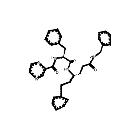 O=C(CC[C@H](CCc1ccccc1)NC(=O)[C@H](Cc1ccccc1)NC(=O)c1cnccn1)NCc1ccccc1